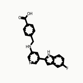 O=C(O)c1ccc(CNc2cncc(-c3cc4cc(F)ccc4[nH]3)c2)cc1